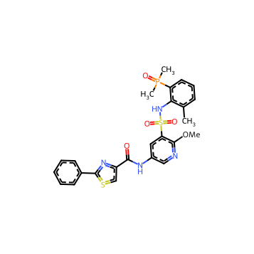 COc1ncc(NC(=O)c2csc(-c3ccccc3)n2)cc1S(=O)(=O)Nc1c(C)cccc1P(C)(C)=O